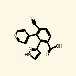 C#Cc1ccc(C(=O)O)c(-c2cc[nH]n2)c1-c1ccncc1